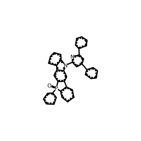 O=P1(c2ccccc2)c2ccccc2-c2cc3c(cc21)c1ccccc1n3-c1cc(-c2ccccc2)cc(-c2ccccc2)n1